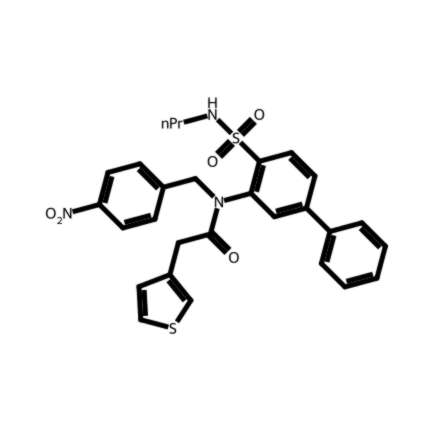 CCCNS(=O)(=O)c1ccc(-c2ccccc2)cc1N(Cc1ccc([N+](=O)[O-])cc1)C(=O)Cc1ccsc1